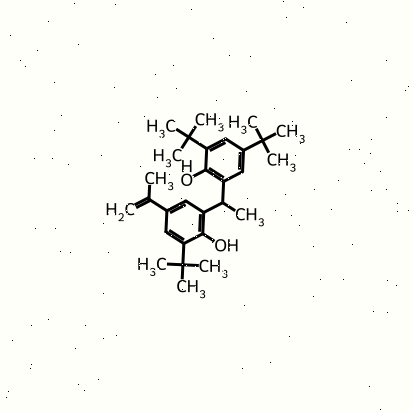 C=C(C)c1cc(C(C)c2cc(C(C)(C)C)cc(C(C)(C)C)c2O)c(O)c(C(C)(C)C)c1